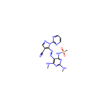 CNc1nc(NC)c(/N=N/c2c(C#N)cnn2-c2ncccn2)c(NS(C)(=O)=O)n1